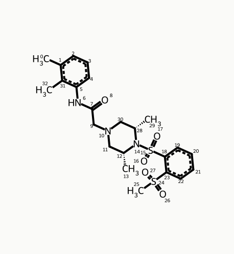 Cc1cccc(NC(=O)CN2C[C@@H](C)N(S(=O)(=O)c3ccccc3S(C)(=O)=O)[C@@H](C)C2)c1C